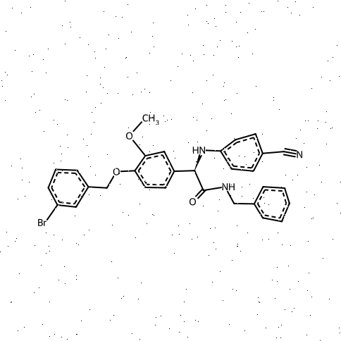 COc1cc([C@@H](Nc2ccc(C#N)cc2)C(=O)NCc2ccccc2)ccc1OCc1cccc(Br)c1